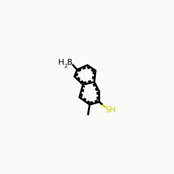 Bc1ccc2cc(S)c(C)cc2c1